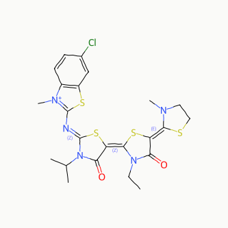 CCn1c(=O)/c(=C2\SCCN2C)s/c1=C1\S/C(=N\c2sc3cc(Cl)ccc3[n+]2C)N(C(C)C)C1=O